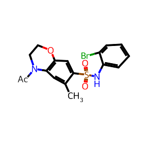 CC(=O)N1CCOc2cc(S(=O)(=O)Nc3ccccc3Br)c(C)cc21